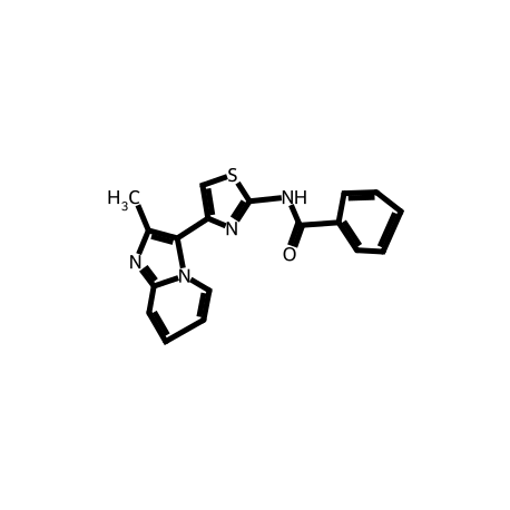 Cc1nc2ccccn2c1-c1csc(NC(=O)c2ccccc2)n1